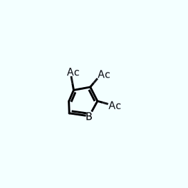 CC(=O)c1bccc(C(C)=O)c1C(C)=O